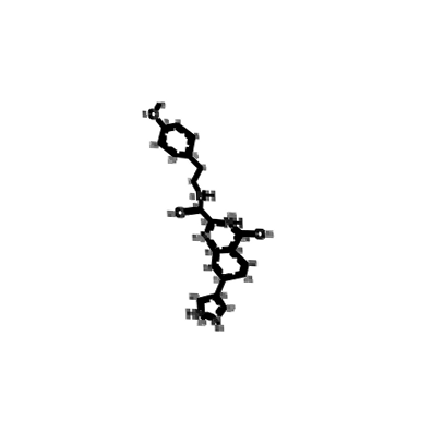 COc1ccc(CCNC(=O)c2nc3cc(-c4cn[nH]c4)ccc3c(=O)[nH]2)cc1